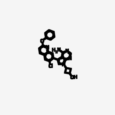 Nc1ncnc2c1c(-c1cc3nc(Oc4ccccc4)ccc3cc1Cl)cn2C1CC(O)C1